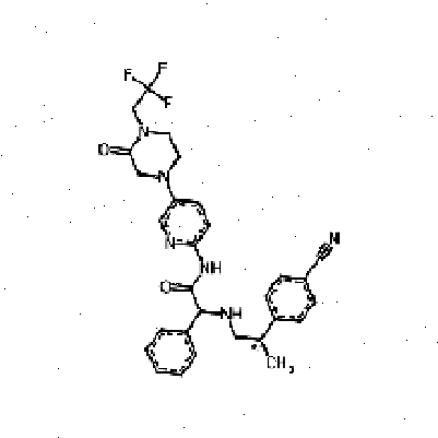 C[C@@H](CNC(C(=O)Nc1ccc(N2CCN(CC(F)(F)F)C(=O)C2)cn1)c1ccccc1)c1ccc(C#N)cc1